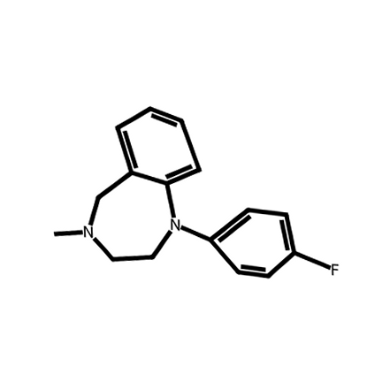 CN1CCN(c2ccc(F)cc2)c2ccccc2C1